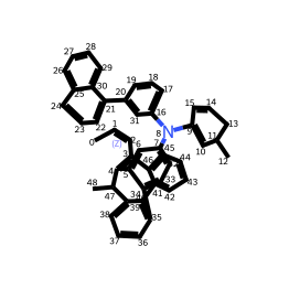 C/C=C\C1=C2c3cc(N(C4=CC(C)CC=C4)c4cccc(-c5cccc6ccccc56)c4)ccc3-c3cccc(c3-c3ccccc31)C2C